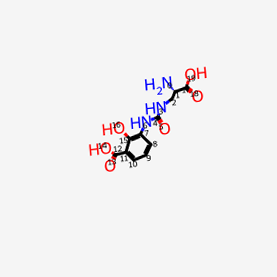 N[C@@H](CNC(=O)Nc1cccc(C(=O)O)c1O)C(=O)O